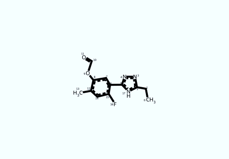 CCc1nnc(-c2cc(OC=O)c(C)cc2F)[nH]1